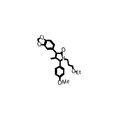 CCOCCCN1C(=O)C(c2ccc3c(c2)OCO3)C(C)C1c1ccc(OC)cc1